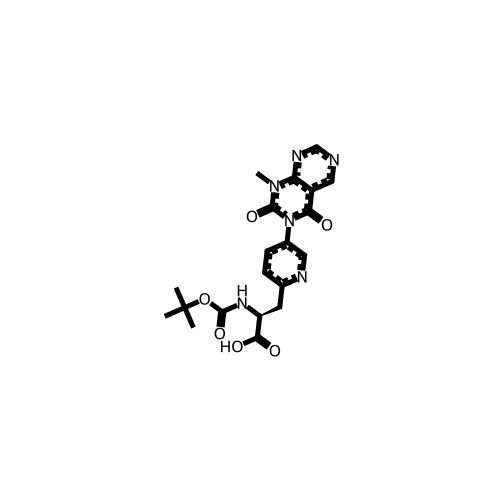 Cn1c(=O)n(-c2ccc(C[C@H](NC(=O)OC(C)(C)C)C(=O)O)nc2)c(=O)c2cncnc21